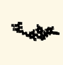 COc1cc(C(C)(C)c2cnc(SCc3c(F)cc(OCCCNC(=N)NC(=N)N)cc3Cl)n2-c2ccc(F)cc2)ccc1F